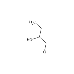 [CH2]CC(O)CCl